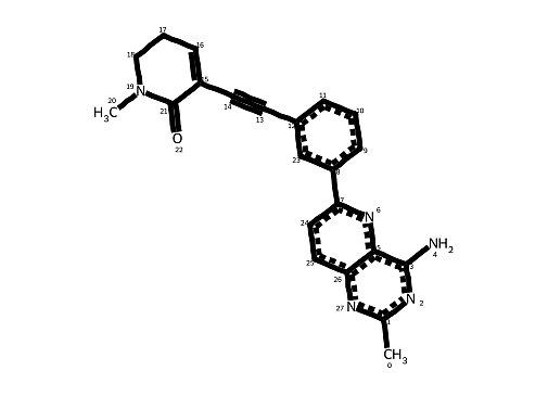 Cc1nc(N)c2nc(-c3cccc(C#CC4=CCCN(C)C4=O)c3)ccc2n1